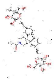 CC(=O)N1CCC2(CC1)c1cc(C#C[C@H]3O[C@H](CO)[C@@H](O)[C@H](O)[C@@H]3O)ccc1-c1ccc(C#C[C@H]3O[C@H](CO)[C@@H](C)[C@H](O)[C@@H]3O)cc12